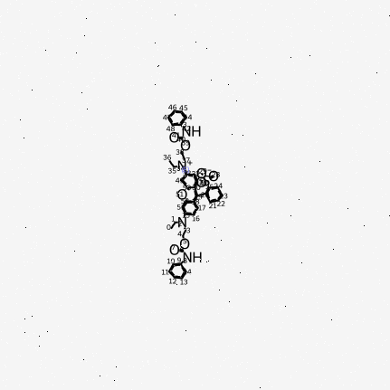 CCN(CCOC(=O)Nc1ccccc1)c1ccc2c(-c3ccccc3S(=O)(=O)[O-])c3cc/c(=[N+](/CC)CCOC(=O)Nc4ccccc4)cc-3oc2c1